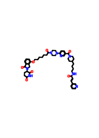 O=C(/C=C/c1cccnc1)NCCCCC1CCN(C(=O)c2ccc(N3CCN(C(=O)CCCCCCOc4cccc5c4CN(C4CCC(=O)NC4=O)C5=O)CC3)nc2)CC1